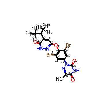 [2H]C([2H])([2H])C(c1cc(Oc2c(Br)cc(-n3nc(C#N)c(=O)[nH]c3=O)cc2Br)n[nH]c1=O)C([2H])([2H])[2H]